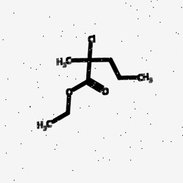 CCCC(C)(Cl)C(=O)OCC